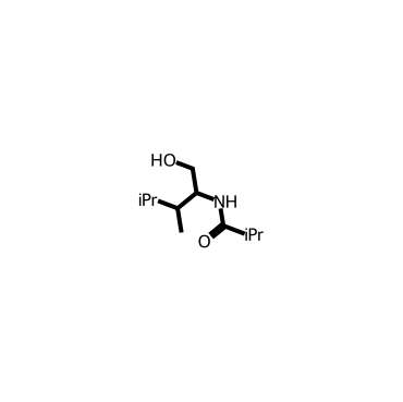 CC(C)C(=O)NC(CO)C(C)C(C)C